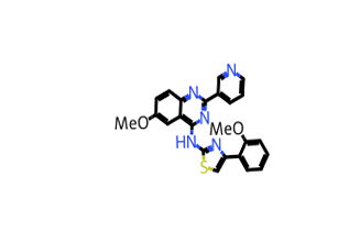 COc1ccc2nc(-c3cccnc3)nc(Nc3nc(-c4ccccc4OC)cs3)c2c1